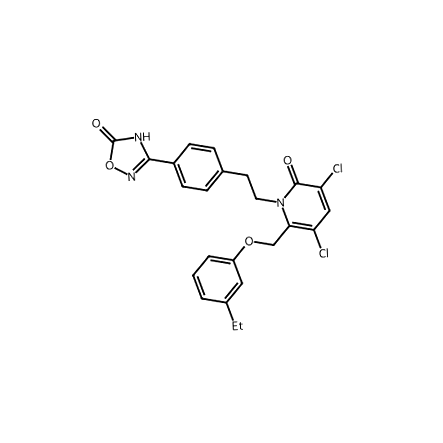 CCc1cccc(OCc2c(Cl)cc(Cl)c(=O)n2CCc2ccc(-c3noc(=O)[nH]3)cc2)c1